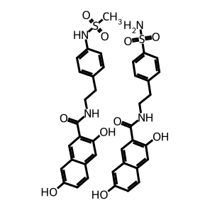 CS(=O)(=O)Nc1ccc(CCNC(=O)c2cc3cc(O)ccc3cc2O)cc1.NS(=O)(=O)c1ccc(CCNC(=O)c2cc3cc(O)ccc3cc2O)cc1